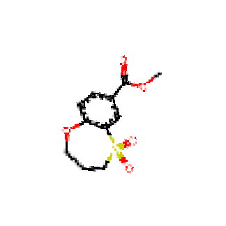 COC(=O)c1ccc2c(c1)S(=O)(=O)CCCO2